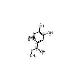 NC[C@H](O)c1ccc(O)c(O)c1.[BaH2]